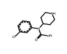 CCCC(=O)N(c1cccc(Cl)c1)C1CCNCC1